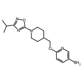 Bc1ccc(OCC2CCN(c3nc(C(C)C)no3)CC2)nc1